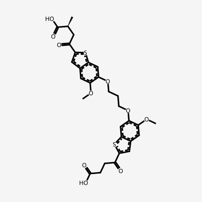 COc1cc2cc(C(=O)CCC(=O)O)sc2cc1OCCCOc1cc2sc(C(=O)C[C@H](C)C(=O)O)cc2cc1OC